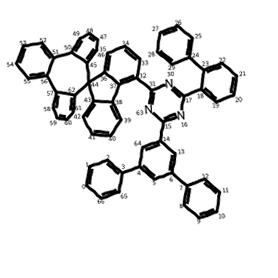 c1ccc(-c2cc(-c3ccccc3)cc(-c3nc(-c4ccccc4-c4ccccc4)nc(-c4cccc5c4-c4ccccc4C54c5ccccc5-c5ccccc5-c5ccccc54)n3)c2)cc1